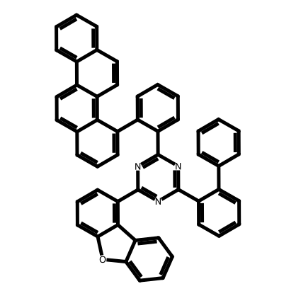 c1ccc(-c2ccccc2-c2nc(-c3ccccc3-c3cccc4ccc5c6ccccc6ccc5c34)nc(-c3cccc4oc5ccccc5c34)n2)cc1